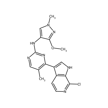 COc1nn(C)cc1Nc1ncc(C)c(-c2c[nH]c3c(Cl)nccc23)n1